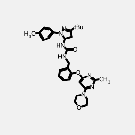 Cc1ccc(N2N=C(C(C)(C)C)CC2NC(=O)NCc2ccccc2Oc2cc(N3CCOCC3)nc(C)n2)cc1